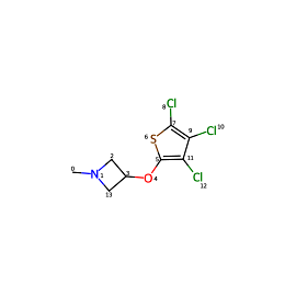 CN1CC(Oc2sc(Cl)c(Cl)c2Cl)C1